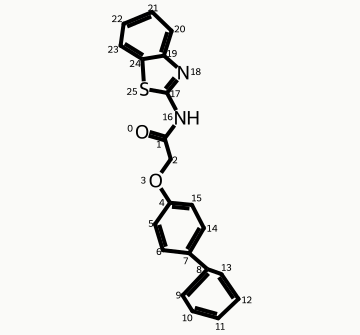 O=C(COc1ccc(-c2ccccc2)cc1)Nc1nc2ccccc2s1